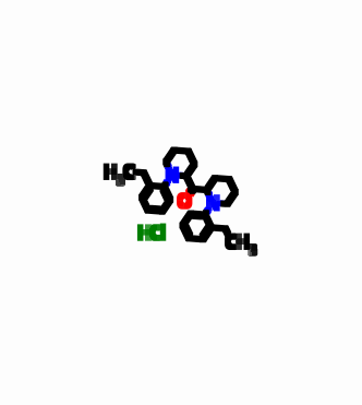 CCc1ccccc1N1CCCCC1C(=O)C1CCCCN1c1ccccc1CC.Cl